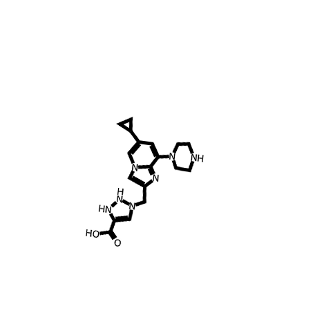 O=C(O)C1=CN(Cc2cn3cc(C4CC4)cc(N4CCNCC4)c3n2)NN1